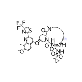 COc1ccc2c(O[C@H]3CCC4C(=O)N(C)CCCC/C=C\[C@@H]5C[C@@]5(C(=O)NS(=O)(=O)C5(C)CC5)NC(=O)N4C3)cc(-c3nc(C(F)(F)F)cs3)nc2c1C